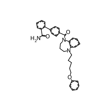 NC(=O)c1ccccc1-c1ccc(C(=O)N2CCCN(CCCCCOc3ccccc3)c3ccccc32)cc1